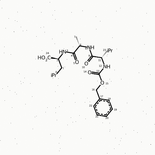 CC(C)C[C@H](NC(=O)[C@H](C)NC(=O)[C@@H](NC(=O)OCc1ccccc1)C(C)C)C(=O)O